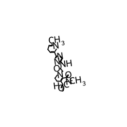 CC1=CCC=C(c2cnc(NC(=O)CN3CCCC(C=O)=C3C(=O)N(C)C)cn2)C=N1